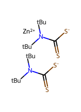 CC(C)(C)N(C(=S)[S-])C(C)(C)C.CC(C)(C)N(C(=S)[S-])C(C)(C)C.[Zn+2]